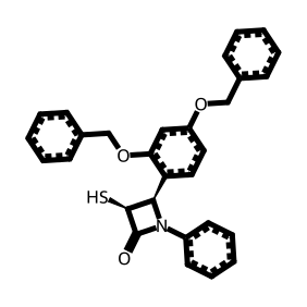 O=C1[C@@H](S)[C@@H](c2ccc(OCc3ccccc3)cc2OCc2ccccc2)N1c1ccccc1